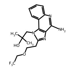 CC(C)(O)Cn1c(CCOCC(F)(F)F)nc2c(N)nc3ccccc3c21